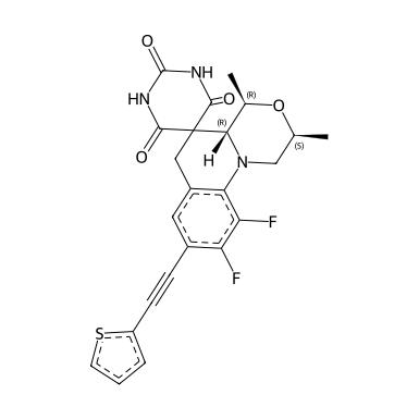 C[C@H]1CN2c3c(cc(C#Cc4cccs4)c(F)c3F)CC3(C(=O)NC(=O)NC3=O)[C@@H]2[C@@H](C)O1